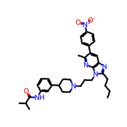 CCCCc1nc2cc(-c3ccc([N+](=O)[O-])cc3)c(C)nc2n1CCCN1CCC(c2cccc(NC(=O)C(C)C)c2)CC1